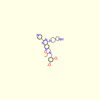 CCC(=O)N(Cc1cc2c(N3CCC4(CCNC4)CC3)nc(-c3ccncc3)nc2cn1)Cc1ccc(OC)cc1OC